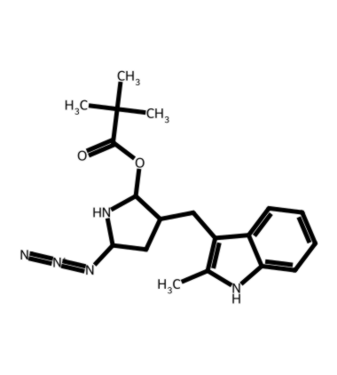 Cc1[nH]c2ccccc2c1CC1CC(N=[N+]=[N-])NC1OC(=O)C(C)(C)C